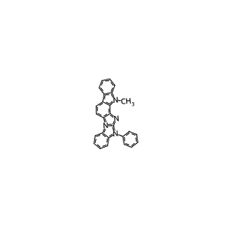 Cn1c2ccccc2c2ccc3c(nc4n(-c5ccccc5)c5ccccc5n34)c21